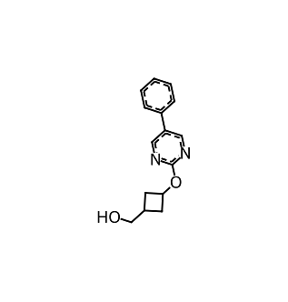 OCC1CC(Oc2ncc(-c3ccccc3)cn2)C1